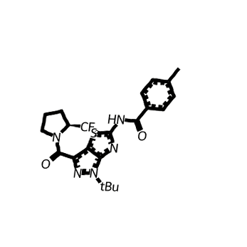 Cc1ccc(C(=O)Nc2nc3c(s2)c(C(=O)N2CCC[C@H]2C(F)(F)F)nn3C(C)(C)C)cc1